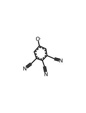 N#Cc1cc([O])cc(C#N)c1C#N